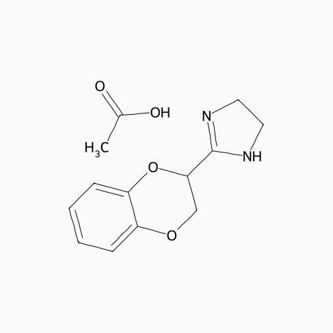 CC(=O)O.c1ccc2c(c1)OCC(C1=NCCN1)O2